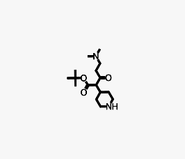 CN(C)CCC(=O)C(C(=O)OC(C)(C)C)C1CCNCC1